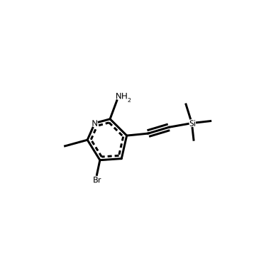 Cc1nc(N)c(C#C[Si](C)(C)C)cc1Br